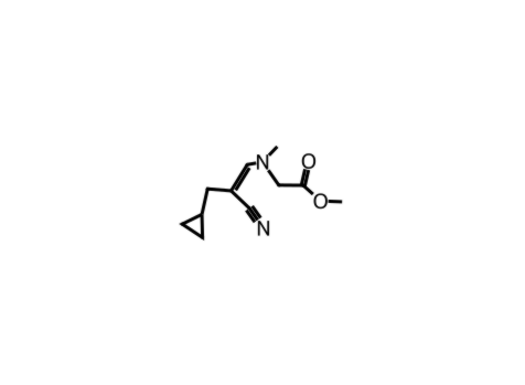 COC(=O)CN(C)/C=C(\C#N)CC1CC1